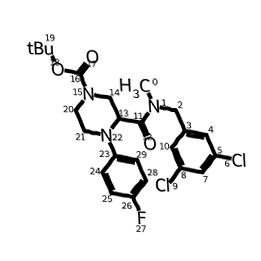 CN(Cc1cc(Cl)cc(Cl)c1)C(=O)C1CN(C(=O)OC(C)(C)C)CCN1c1ccc(F)cc1